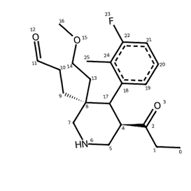 CCC(=O)[C@H]1CNC[C@@](CCC=O)(CCOC)C1c1cccc(F)c1C